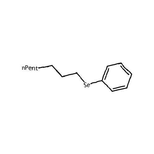 CCCCCCCC[Se]c1ccccc1